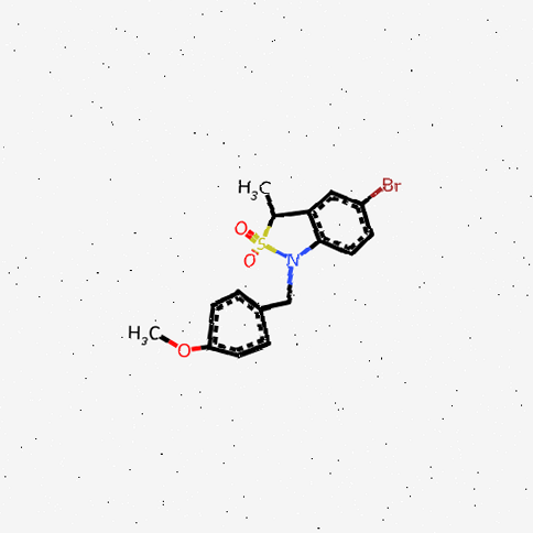 COc1ccc(CN2c3ccc(Br)cc3C(C)S2(=O)=O)cc1